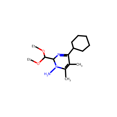 CCOC(OCC)C1N=C(C2CCCCC2)C(C)=C(C)N1N